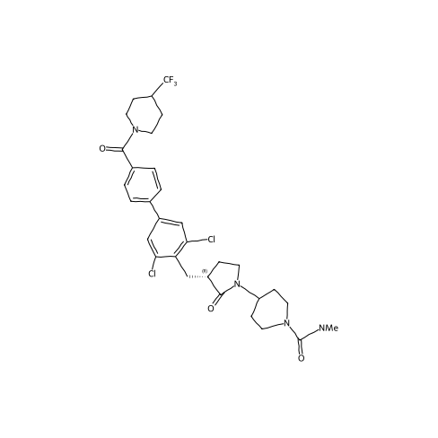 CNC(=O)N1CCC(N2CC[C@@H](Cc3c(Cl)cc(-c4ccc(C(=O)N5CCC(C(F)(F)F)CC5)cc4)cc3Cl)C2=O)CC1